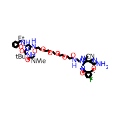 CC[C@@H](NC(=O)[C@@H]1C[C@H](NC(=O)CCOCCOCCOCCOCCC(=O)NCCn2nc(C#N)c3c2CN(C)C(=O)c2ccc(F)cc2[C@@H](C)Oc2cc-3cnc2N)CN1C(=O)[C@@H](NC(=O)C(C)NC)C(C)(C)C)c1ccccc1